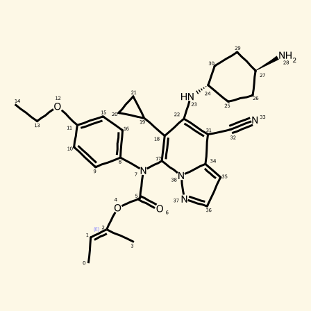 C/C=C(\C)OC(=O)N(c1ccc(OCC)cc1)c1c(C2CC2)c(N[C@H]2CC[C@H](N)CC2)c(C#N)c2ccnn12